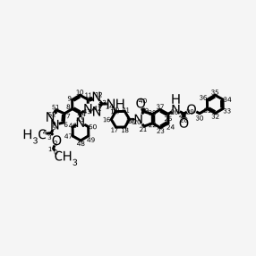 CCOC(C)n1cc(-c2ccc3nc(N[C@@H]4CCC[C@H](N5Cc6ccc(NC(=O)OCc7ccccc7)cc6C5=O)C4)nn3c2N2CCCCC2)cn1